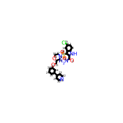 NC(=O)c1[nH]c2ccc(Cl)cc2c1S(=O)(=O)N1CCOC(COc2cccc(-c3ccncc3)c2)C1